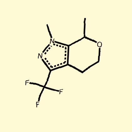 CC1OCCc2c(C(F)(F)F)nn(C)c21